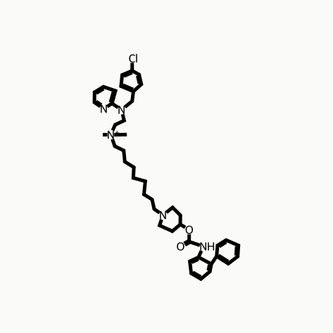 C[N+](C)(CCCCCCCCCN1CCC(OC(=O)Nc2ccccc2-c2ccccc2)CC1)CCN(Cc1ccc(Cl)cc1)c1ccccn1